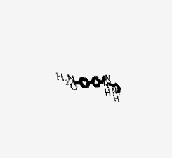 NC(=O)c1ccc(-c2ccc(-c3cnc(C4CCCN4)[nH]3)cc2)cc1